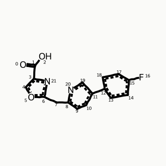 O=C(O)c1coc(Cc2ccc(-c3ccc(F)cc3)cn2)n1